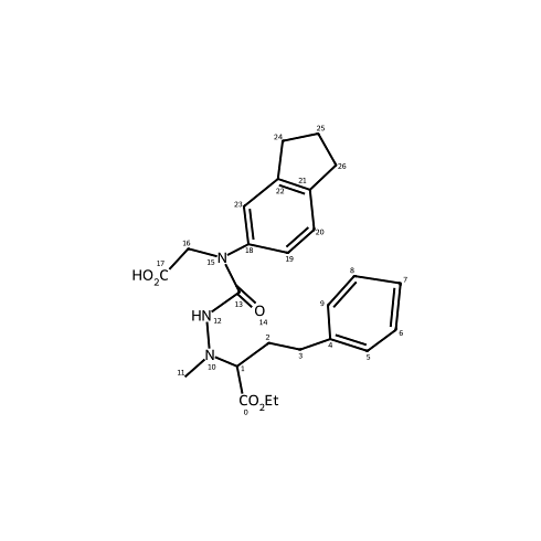 CCOC(=O)C(CCc1ccccc1)N(C)NC(=O)N(CC(=O)O)c1ccc2c(c1)CCC2